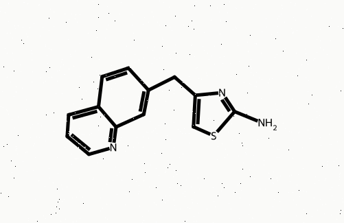 Nc1nc(Cc2ccc3cccnc3c2)cs1